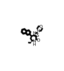 CC[C@H]1CC(c2ccc3ccccc3c2)c2nc(N3CCOCC3)sc2C(=O)N1